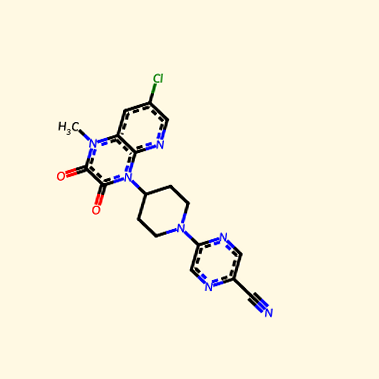 Cn1c(=O)c(=O)n(C2CCN(c3cnc(C#N)cn3)CC2)c2ncc(Cl)cc21